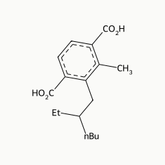 CCCCC(CC)Cc1c(C(=O)O)ccc(C(=O)O)c1C